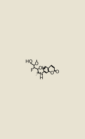 COC(CO)C(F)C(O)[C@@H](C)Nc1ccc2ccc(=O)oc2c1